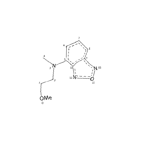 COCCN(C)c1cccc2nonc12